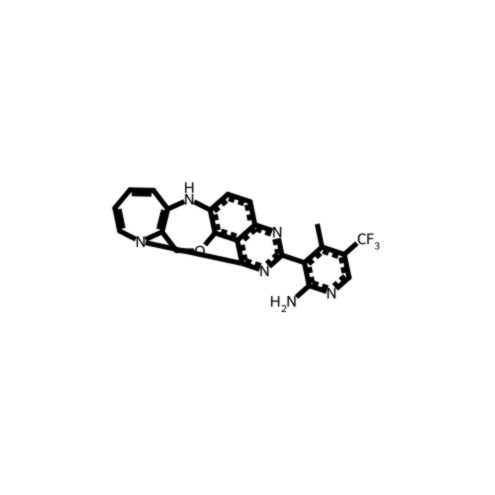 Cc1c(C(F)(F)F)cnc(N)c1-c1nc2c3c4c(ccc3n1)NC1=C(CO4)N2C=CC=C1